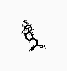 C[C@@H](C#N)CC1CCC2O[C@@H]3CC2(CC[C@H]3O)O1